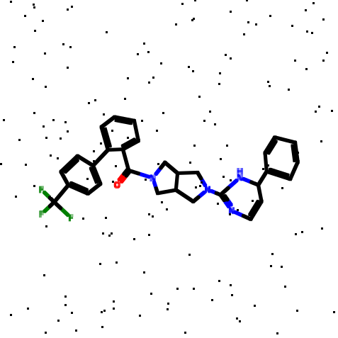 O=C(c1ccccc1-c1ccc(C(F)(F)F)cc1)N1CC2CN(C3=NC=CC(c4ccccc4)N3)CC2C1